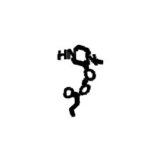 CCCC(=O)OCOC1CNCCN1C